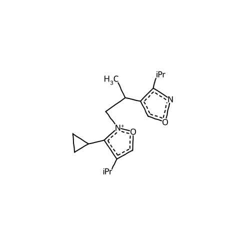 CC(C)c1co[n+](CC(C)c2conc2C(C)C)c1C1CC1